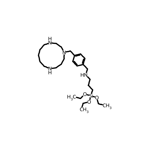 CCO[Si](CCCNCc1ccc(CN2CCCNCCCCCNCC2)cc1)(OCC)OCC